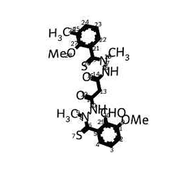 COc1cccc(C(=S)N(C)NC(=O)CC(=O)NN(C)C(=S)c2cccc(C)c2OC)c1C=O